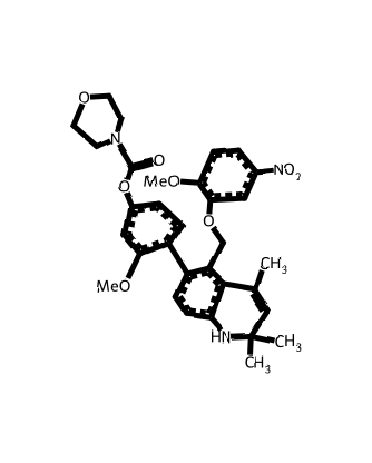 COc1ccc([N+](=O)[O-])cc1OCc1c(-c2ccc(OC(=O)N3CCOCC3)cc2OC)ccc2c1C(C)=CC(C)(C)N2